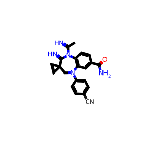 CC(=N)N1C(=N)C2(CC2)CN(c2ccc(C#N)cc2)c2cc(C(N)=O)ccc21